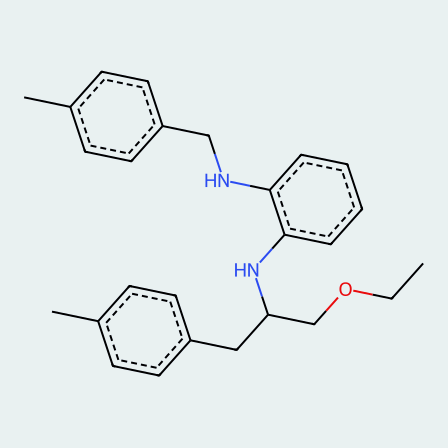 CCOCC(Cc1ccc(C)cc1)Nc1ccccc1NCc1ccc(C)cc1